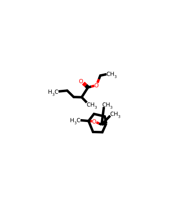 CC12CCC(CC1)C(C)(C)O2.CCCC(C)C(=O)OCC